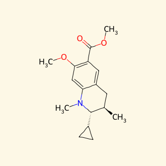 COC(=O)c1cc2c(cc1OC)N(C)[C@@H](C1CC1)[C@H](C)C2